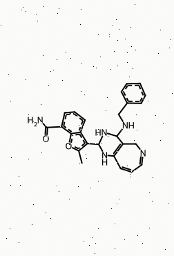 Cc1oc2c(C(N)=O)cccc2c1C1NC2=C(CN=CC=C2)C(NCc2ccccc2)N1